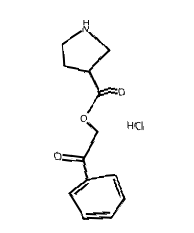 Cl.O=C(COC(=O)C1CCNC1)c1ccccc1